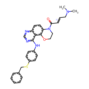 CN(C)C/C=C/C(=O)N1CCOc2c1ccc1ncnc(Nc3ccc(SCc4ccccc4)cc3)c21